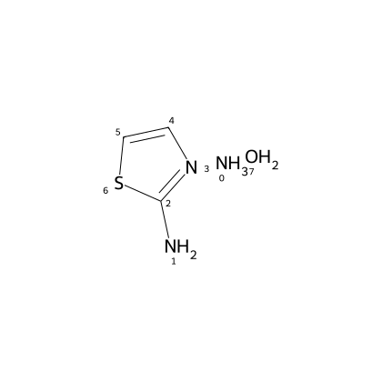 N.Nc1nccs1.O